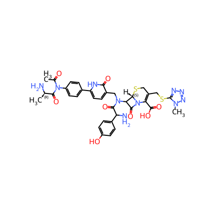 CC(=O)N(C(=O)[C@@H](C)N)c1ccc(-c2ccc(CN(C(=O)C(N)c3ccc(O)cc3)C3C(=O)N4C(C(=O)O)=C(CSc5nnnn5C)CS[C@@H]34)c(=O)[nH]2)cc1